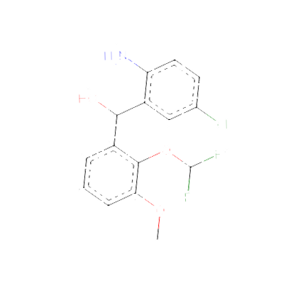 COc1cccc(C(O)c2cc(Cl)ccc2N)c1OC(F)F